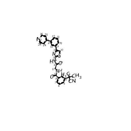 CC(C)(C#N)c1cccc(C(=O)NCC(=O)Nc2nc(-c3cccc(-c4ccncc4)c3)cs2)c1